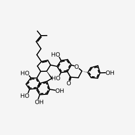 CC(C)=CCCC1=CC(c2c(O)cc3c(c2O)C(=O)C[C@@H](c2ccc(O)cc2)O3)[C@@H](Cc2ccc(O)cc2O)C(c2ccc(O)cc2O)C1